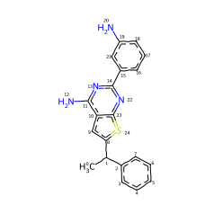 CC(c1ccccc1)c1cc2c(N)nc(-c3cccc(N)c3)nc2s1